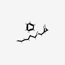 CCCCCCOCC1CO1.c1ccccc1